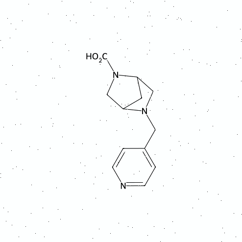 O=C(O)N1CC2CC1CN2Cc1ccncc1